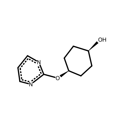 O[C@H]1CC[C@@H](Oc2ncccn2)CC1